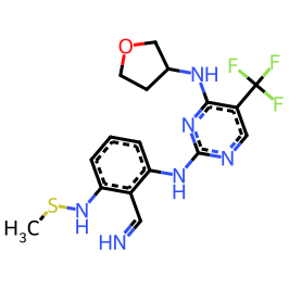 CSNc1cccc(Nc2ncc(C(F)(F)F)c(NC3CCOC3)n2)c1C=N